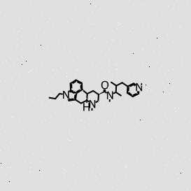 CCCn1cc2c3c(cccc31)C1C[C@@H](C(=O)N(C)C(C)C(C)Cc3cccnc3)CN(C)[C@@H]1C2